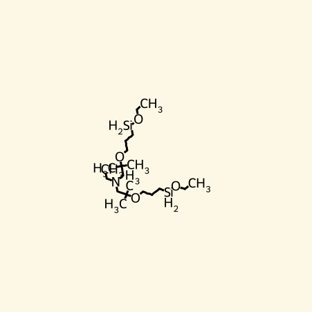 CCO[SiH2]CCCOC(C)(C)CN(CC)CC(C)(C)OCCC[SiH2]OCC